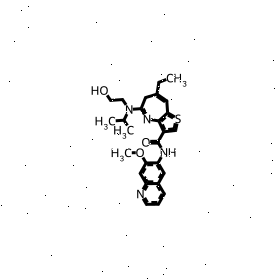 CCC1=Cc2scc(C(=O)Nc3cc4cccnc4cc3OC)c2N=C(N(CCO)C(C)C)C1